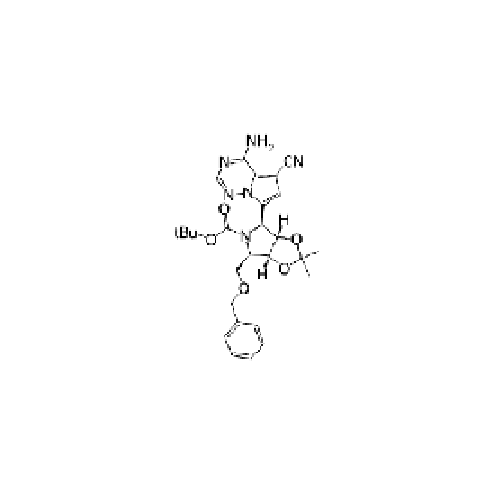 CC(C)(C)OC(=O)N1[C@H](COCc2ccccc2)[C@H]2OC(C)(C)O[C@H]2[C@@H]1c1cc(C#N)c2c(N)ncnn12